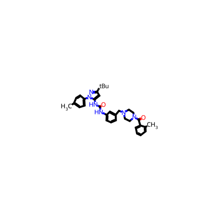 Cc1ccc(-n2nc(C(C)(C)C)cc2NC(=O)Nc2cccc(CN3CCN(C(=O)c4ccccc4C)CC3)c2)cc1